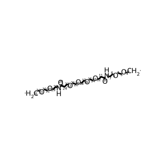 [CH2]COCCOCCNC(=O)CCOCCOCCOCCOCCC(=O)NCCOCCOC[CH2]